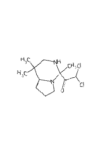 CC1(C)CNC(C)(C(=O)C(Cl)Cl)N2CCCC21